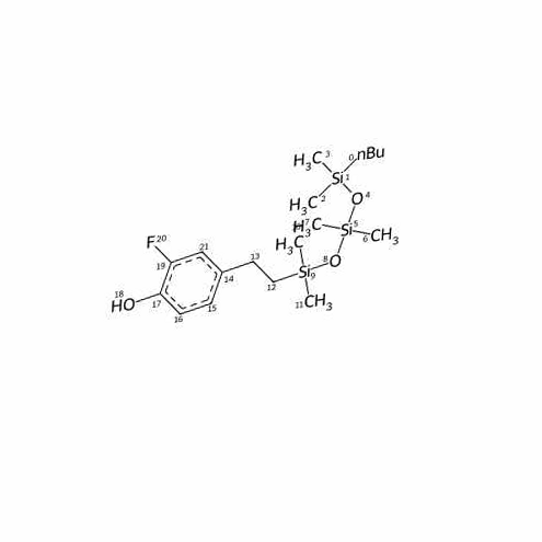 CCCC[Si](C)(C)O[Si](C)(C)O[Si](C)(C)CCc1ccc(O)c(F)c1